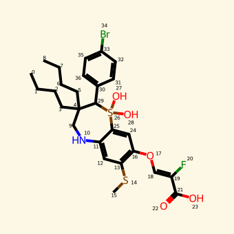 CCCCC1(CCCC)CNc2cc(SC)c(O/C=C(\F)C(=O)O)cc2S(O)(O)C1c1ccc(Br)cc1